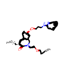 CC(C)(C)CCOCCN1Cc2cc(OCCCNc3ccccn3)ccc2C[C@@H](CC(=O)O)C1=O